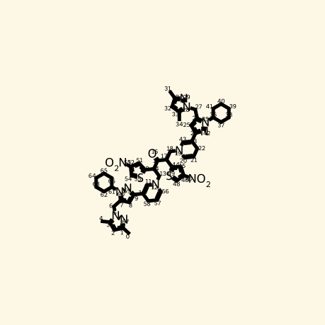 Cc1cc(C)n(Cc2cc(C3=CN(CC(C(=O)C(CN4C=CCC(c5cc(Cn6nc(C)cc6C)n(C6CCCCC6)n5)=C4)c4cc([N+](=O)[O-])cs4)c4cc([N+](=O)[O-])cs4)C=CC3)nn2C2CCCCC2)n1